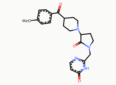 COc1ccc(C(=O)C2CCN(C3CCN(Cc4nccc(=O)[nH]4)C3=O)CC2)cc1